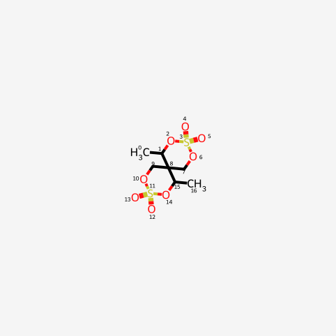 CC1OS(=O)(=O)OCC12COS(=O)(=O)OC2C